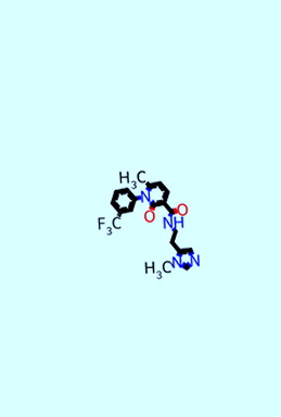 Cc1ccc(C(=O)NCCc2cncn2C)c(=O)n1-c1cccc(C(F)(F)F)c1